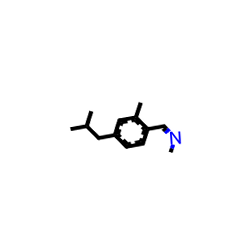 C/N=C\c1ccc(CC(C)C)cc1C